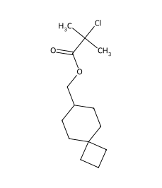 CC(C)(Cl)C(=O)OCC1CCC2(CCC2)CC1